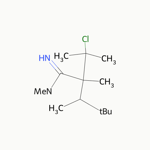 CNC(=N)C(C)(C(C)C(C)(C)C)C(C)(C)Cl